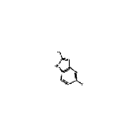 Fc1ccc2[nH]c(Cl)nc2c1